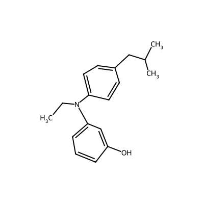 CCN(c1ccc(CC(C)C)cc1)c1cccc(O)c1